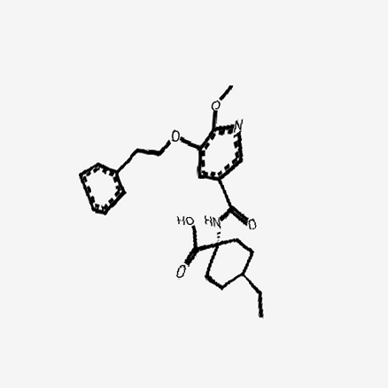 CC[C@H]1CC[C@@](NC(=O)c2cnc(OC)c(OCCc3ccccc3)c2)(C(=O)O)CC1